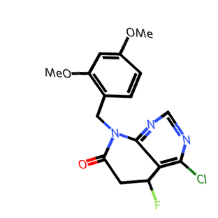 COc1ccc(CN2C(=O)CC(F)c3c(Cl)ncnc32)c(OC)c1